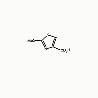 [CH2]Sc1nc(C(=O)O)cs1